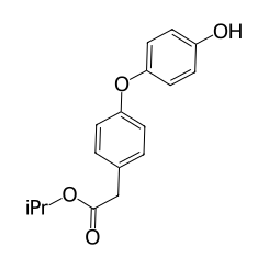 CC(C)OC(=O)Cc1ccc(Oc2ccc(O)cc2)cc1